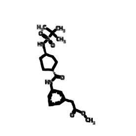 COC(=O)Cc1cccc(NC(=O)[C@H]2CC[C@H](NS(=O)(=O)C(C)(C)C)CC2)c1